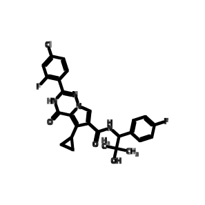 CC(C)(O)C(NC(=O)c1cn2nc(-c3ccc(Cl)cc3F)[nH]c(=O)c2c1C1CC1)c1ccc(F)cc1